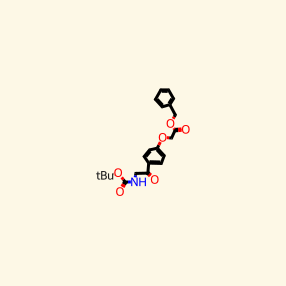 CC(C)(C)OC(=O)NCC(=O)c1ccc(OCC(=O)OCc2ccccc2)cc1